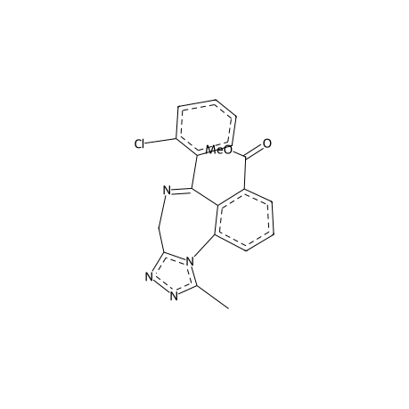 COC(=O)c1cccc2c1C(c1ccccc1Cl)=NCc1nnc(C)n1-2